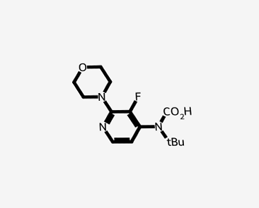 CC(C)(C)N(C(=O)O)c1ccnc(N2CCOCC2)c1F